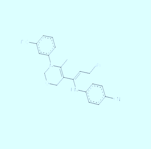 CC1=C(/C(=C/CC(C)C)Nc2ccc(C#N)cc2)COCN1c1cccc(C(F)(F)F)c1